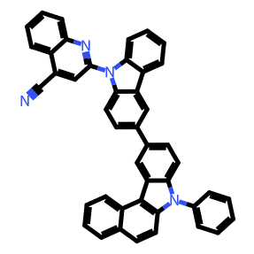 N#Cc1cc(-n2c3ccccc3c3cc(-c4ccc5c(c4)c4c6ccccc6ccc4n5-c4ccccc4)ccc32)nc2ccccc12